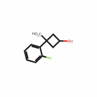 O=C(O)C1(c2ccccc2F)CC(O)C1